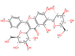 O=c1c(C2O[C@H](CO)[C@@H](O)[C@H](O)[C@H]2O)c(-c2ccc(O)cc2)oc2cc(O)c(C3O[C@H](CO)[C@@H](O)[C@H](O)[C@H]3O)c(O)c12